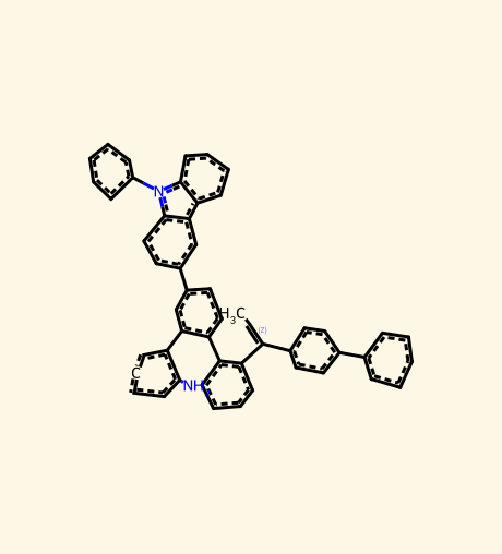 C/C=C(/c1ccc(-c2ccccc2)cc1)c1ccccc1-c1ccc(-c2ccc3c(c2)c2ccccc2n3-c2ccccc2)cc1-c1ccccc1N